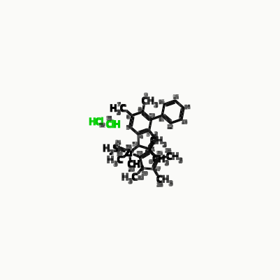 CC1=Cc2c(cc(C)c(C)c2-c2ccccc2)[CH]1[Zr]([CH3])([CH3])(=[SiH2])[C]1=C(C)C(C)=C(C)C1C.Cl.Cl